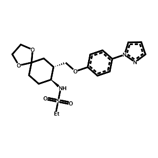 CCS(=O)(=O)N[C@H]1CCC2(C[C@@H]1COc1ccc(-n3cccn3)cc1)OCCO2